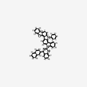 c1ccc(-n2c3ccc4c5ccccc5oc4c3c3ccc4c(c5ccccc5n4-c4nc(-c5ccc6ccccc6c5)c5ccccc5n4)c32)cc1